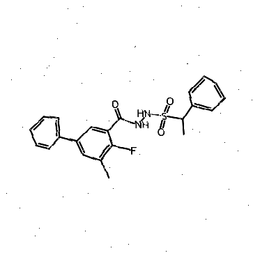 Cc1cc(-c2ccccc2)cc(C(=O)NNS(=O)(=O)C(C)c2ccccc2)c1F